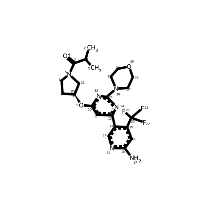 CC(C)C(=O)N1CC[C@H](Oc2cc(-c3cnc(N)cc3C(F)(F)F)nc(N3CCOCC3)n2)C1